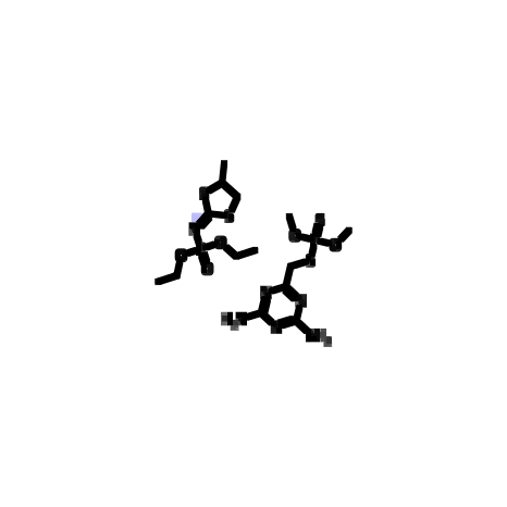 CCOP(=O)(/N=C1\SCC(C)S1)OCC.COP(=S)(OC)SCc1nc(N)nc(N)n1